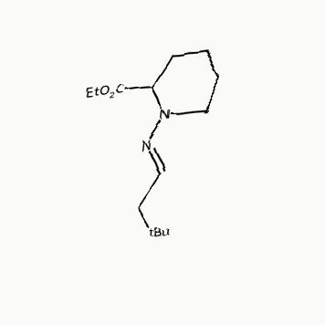 CCOC(=O)C1CCCCN1N=CCC(C)(C)C